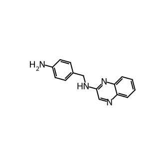 Nc1ccc(CNc2cnc3ccccc3n2)cc1